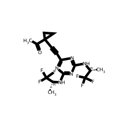 CC(=O)C1(C#Cc2nc(N[C@H](C)C(F)(F)F)nc(N[C@H](C)C(F)(F)F)n2)CC1